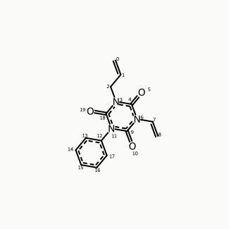 C=CCn1c(=O)n(C=C)c(=O)n(-c2ccccc2)c1=O